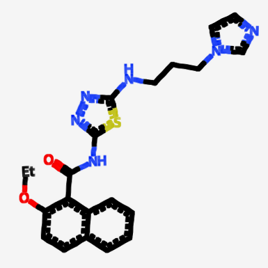 CCOc1ccc2ccccc2c1C(=O)Nc1nnc(NCCCn2ccnc2)s1